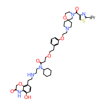 CC(C)c1nc(C(=O)N2CCOC3(CCN(CCOc4cccc(CCOCCC(=O)N(CCNCCc5ccc(O)c6c5OCC(=O)N6)C5CCCCC5)c4)CC3)C2)cs1